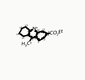 CCOC(=O)c1ccc2c(C)c3c(nc2c1)CCCC3